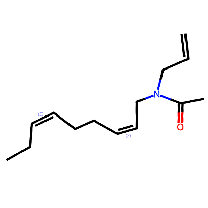 C=CCN(C/C=C\CC/C=C\CC)C(C)=O